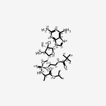 CC(C)OC(=O)C(C)NP(=S)(OCCSC(=O)C(C)(C)C)OC[C@H]1O[C@@H](n2cnc3c(N)nc(N)nc32)[C@](F)(Cl)[C@@H]1O